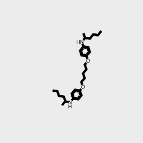 CCCCC(C)Nc1ccc(OCCCCCOc2ccc(NC(C)CCCC)cc2)cc1